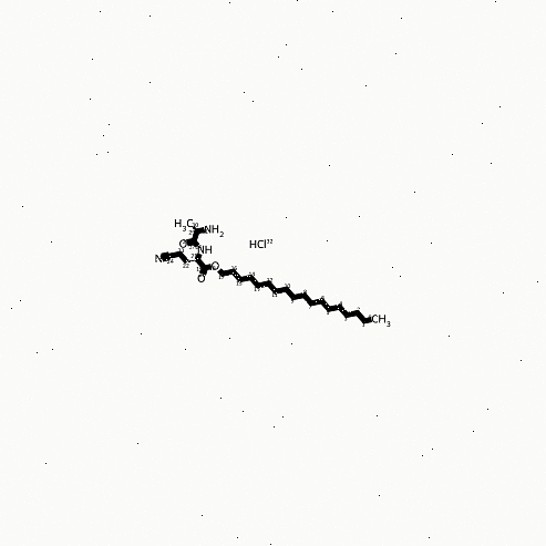 CCCCCCCCCCCCCCCCCCOC(=O)[C@H](CCC#N)NC(=O)[C@@H](C)N.Cl